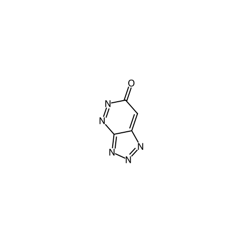 O=C1C=C2N=NN=C2N=N1